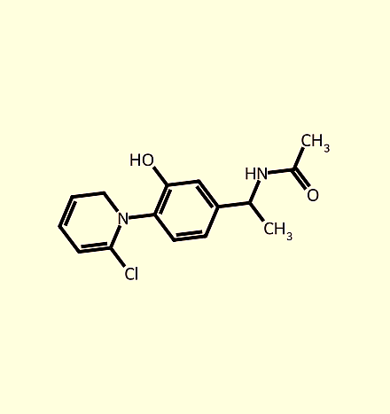 CC(=O)NC(C)c1ccc(N2CC=CC=C2Cl)c(O)c1